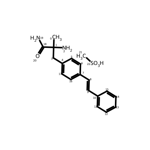 CC(N)(Cc1ccc(C=Cc2ccccc2)cc1)C(N)=O.CS(=O)(=O)O